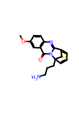 COc1ccc2nc3n(c(=O)c2c1)C1(CCCN)C=CC=C3C1=S